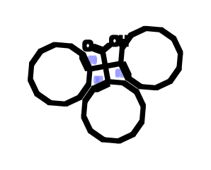 O=C(O)C(/C1=C/CCCCCCCCCC1)(/C1=C/CCCCCCCCCC1)/C1=C/CCCCCCCCCC1